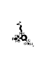 CN(C)CCCNc1ccc(S(N)(=O)=O)cc1S(=O)(=O)C(F)(F)F